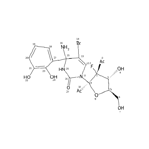 CC(=O)[C@@]1(F)[C@H](O)[C@@H](CO)O[C@@]1(C(C)=O)N1C=C(Br)C(N)(c2cccc(O)c2O)NC1=O